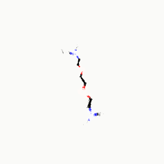 CC(=O)N(CCOCCOCCN(C(C)=O)C(C)C)C(C)C